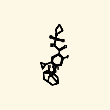 C[C@]12CC3CC(C1)[C@@H](Oc1cc(F)c(C(=O)NS(=O)(=O)N4CCC4)cc1C1CC1)C(C3)C2